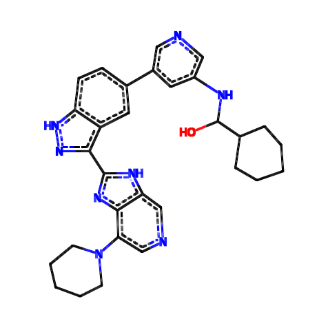 OC(Nc1cncc(-c2ccc3[nH]nc(-c4nc5c(N6CCCCC6)cncc5[nH]4)c3c2)c1)C1CCCCC1